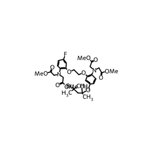 COC(=O)CN(CC(=O)OC)c1ccc(F)cc1OCCOc1cc(OC(C)(C)CC(C)(C)Br)ccc1N(CC(=O)OC)CC(=O)OC